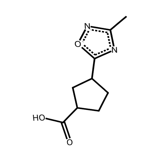 Cc1noc(C2CCC(C(=O)O)C2)n1